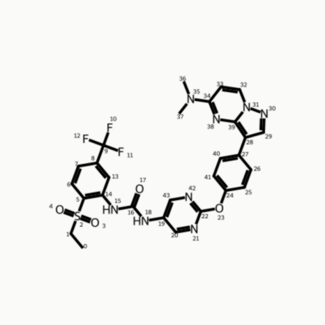 CCS(=O)(=O)c1ccc(C(F)(F)F)cc1NC(=O)Nc1cnc(Oc2ccc(-c3cnn4ccc(N(C)C)nc34)cc2)nc1